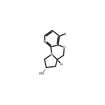 O[C@H]1C[C@H]2COc3c(I)ccnc3N2C1